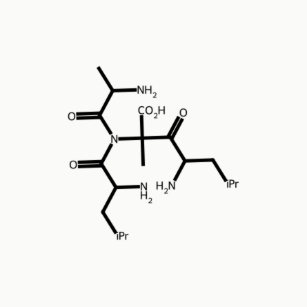 CC(C)CC(N)C(=O)N(C(=O)C(C)N)C(C)(C(=O)O)C(=O)C(N)CC(C)C